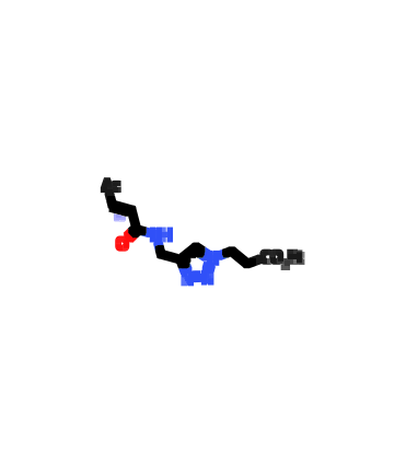 CCOC(=O)CCn1cc(CNC(=O)/C=C/C(C)=O)nn1